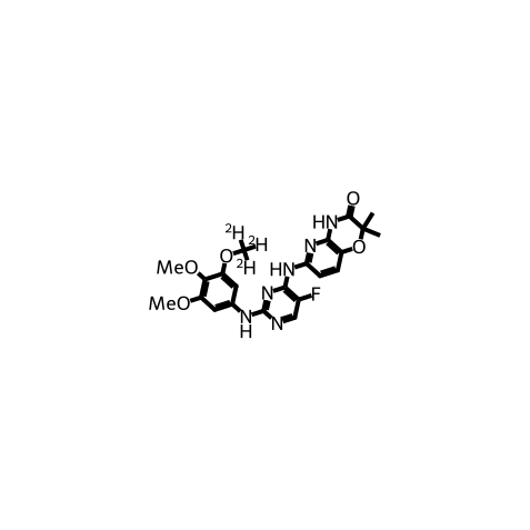 [2H]C([2H])([2H])Oc1cc(Nc2ncc(F)c(Nc3ccc4c(n3)NC(=O)C(C)(C)O4)n2)cc(OC)c1OC